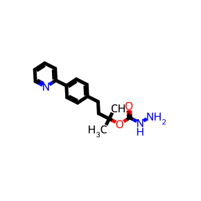 CC(C)(CCc1ccc(-c2ccccn2)cc1)OC(=O)NN